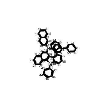 c1ccc(-c2ccc(N(c3ccc4ccccc4c3)c3cc4ccccc4c4c3c3c(-c5ccccc5)cccc3n4-c3ccccc3)cc2)cc1